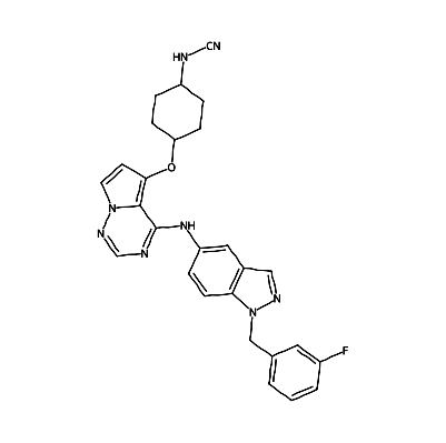 N#CNC1CCC(Oc2ccn3ncnc(Nc4ccc5c(cnn5Cc5cccc(F)c5)c4)c23)CC1